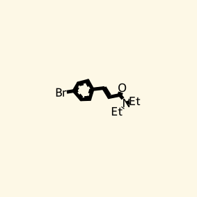 CCN(CC)C(=O)/C=C/c1ccc(Br)cc1